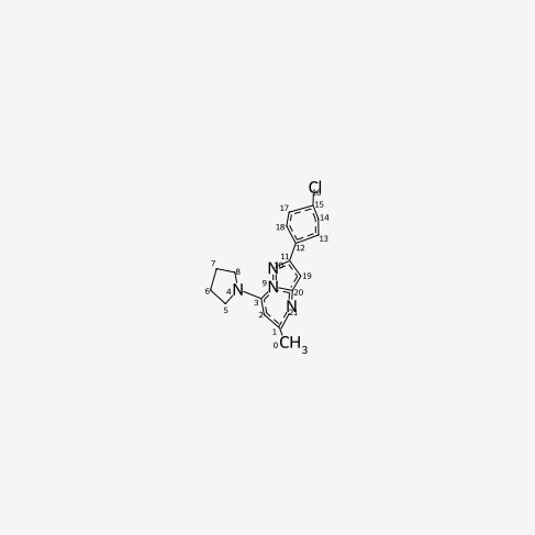 Cc1cc(N2CCCC2)n2nc(-c3ccc(Cl)cc3)cc2n1